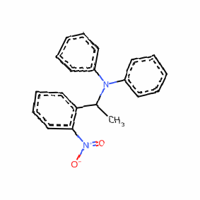 CC(c1ccccc1[N+](=O)[O-])N(c1ccccc1)c1ccccc1